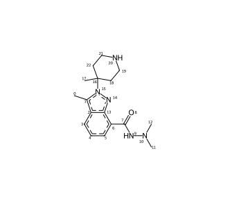 Cc1c2cccc(C(=O)NN(C)C)c2nn1C1(C)CCNCC1